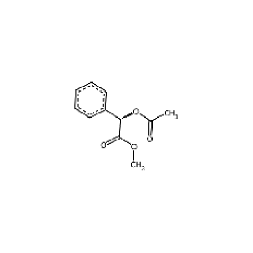 COC(=O)[C@H](OC(C)=O)c1ccccc1